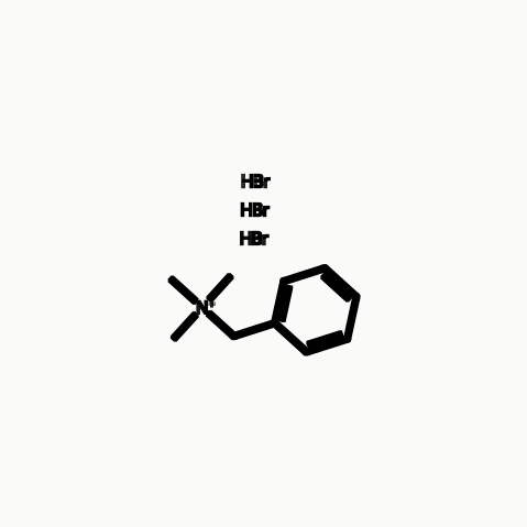 Br.Br.Br.C[N+](C)(C)Cc1ccccc1